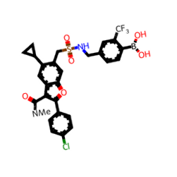 CNC(=O)c1c(-c2ccc(Cl)cc2)oc2cc(CS(=O)(=O)NCc3ccc(B(O)O)c(C(F)(F)F)c3)c(C3CC3)cc12